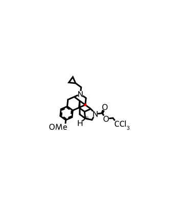 COc1ccc2c(c1)C13CCN(CC4CC4)C(C2)C12CCC1C3[C@H](CN1C(=O)OCC(Cl)(Cl)Cl)C2